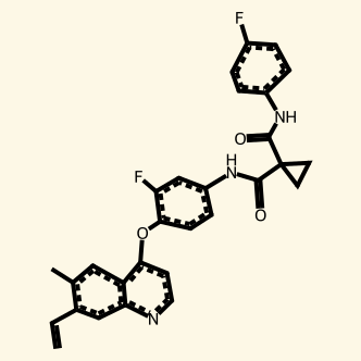 C=Cc1cc2nccc(Oc3ccc(NC(=O)C4(C(=O)Nc5ccc(F)cc5)CC4)cc3F)c2cc1C